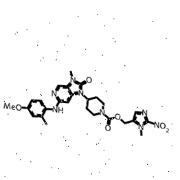 COc1ccc(Nc2cc3c(cn2)n(C)c(=O)n3C2CCN(C(=O)OCc3cnc([N+](=O)[O-])n3C)CC2)c(C)c1